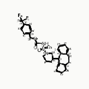 O=C(NS(=O)(=O)N1CCCC(C2c3ccccc3CCc3ccccc32)C1)OCc1ccc(C(F)(F)F)cc1